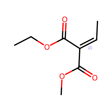 C/C=C(/C(=O)OC)C(=O)OCC